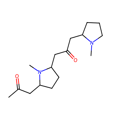 CC(=O)CC1CCC(CC(=O)CC2CCCN2C)N1C